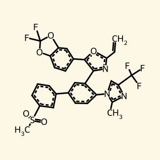 C=Cc1nc(-c2cc(-c3cccc(S(C)(=O)=O)c3)ccc2-n2cc(C(F)(F)F)nc2C)c(-c2ccc3c(c2)OC(F)(F)O3)o1